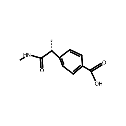 CNC(=O)[C@H](C)c1ccc(C(=O)O)cc1